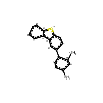 Bc1ccc(-c2ccc3sc4ccccc4c3c2)c(B)c1